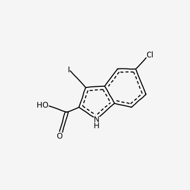 O=C(O)c1[nH]c2ccc(Cl)cc2c1I